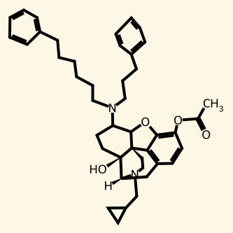 CC(=O)Oc1ccc2c3c1OC1C(N(CCCCCCc4ccccc4)CCCc4ccccc4)CC[C@@]4(O)[C@@H](C2)N(CC2CC2)CC[C@]314